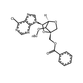 CCCCOC1[C@@H]2OC[C@]1(COC(=O)c1ccccc1)O[C@H]2n1cnc2c(Cl)ncnc21